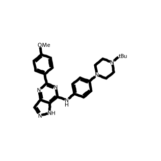 COc1ccc(-c2nc(Nc3ccc(N4CCN(C(C)(C)C)CC4)cc3)c3[nH]ncc3n2)cc1